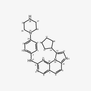 c1cc(Nc2ncc3ccc4ncc(C5CCCC5)n4c3n2)ncc1N1CCNCC1